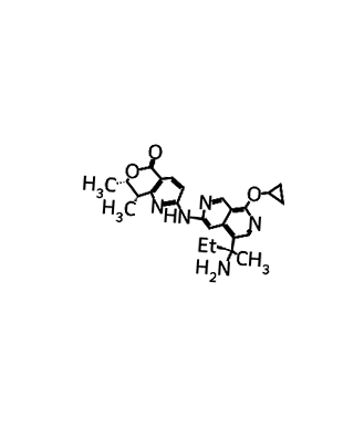 CC[C@@](C)(N)c1cnc(OC2CC2)c2cnc(Nc3ccc4c(n3)[C@H](C)[C@H](C)OC4=O)cc12